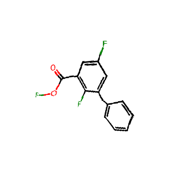 O=C(OF)c1cc(F)cc(-c2ccccc2)c1F